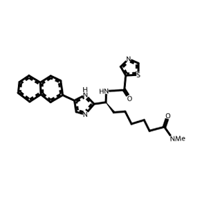 CNC(=O)CCCCC[C@H](NC(=O)c1cncs1)c1ncc(-c2ccc3ccccc3c2)[nH]1